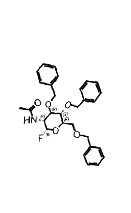 CC(=O)N[C@@H]1[C@@H](OCc2ccccc2)[C@H](OCc2ccccc2)[C@@H](COCc2ccccc2)O[C@@H]1F